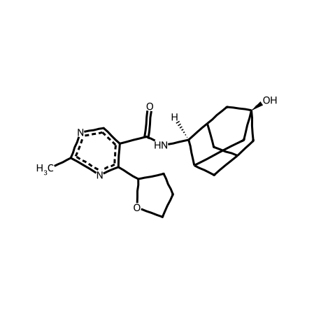 Cc1ncc(C(=O)N[C@H]2C3CC4CC2C[C@@](O)(C4)C3)c(C2CCCO2)n1